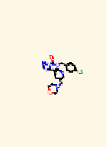 O=c1n(Cc2ccc(Cl)cc2)c2ncc(CN3CCOCC3)cc2c2ncnn12